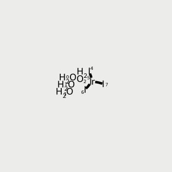 O.O.O.O.[I][Ir]([I])[I]